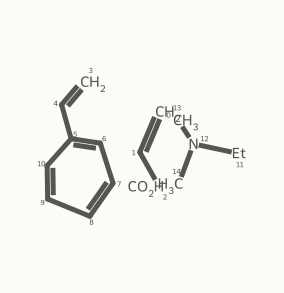 C=CC(=O)O.C=Cc1ccccc1.CCN(C)C